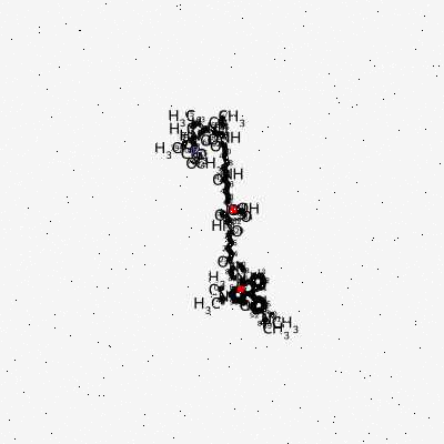 CCN(CC)c1ccc2c(-c3ccccc3C(=O)N3CCN(C(=O)CCCCC(=O)N[C@@H](CS(=O)(=O)O)C(=O)NCCCCC(=O)NCCCCC(=O)N[C@@H](CC(C)C)C(=O)N[C@@H](CC(C)C)C(=O)N[C@H](/C=C/S(C)(=O)=O)CC(C)C)CC3)c3ccc(N(CC)CC)cc3[o+]c2c1